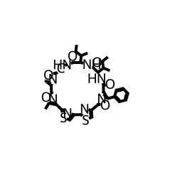 CCC(C)C1NC(=O)c2nc(oc2-c2ccccc2)-c2csc(n2)-c2csc(n2)-c2nc(oc2C)-c2coc(n2)CNC(=O)C(C(C)CC)NC1=O